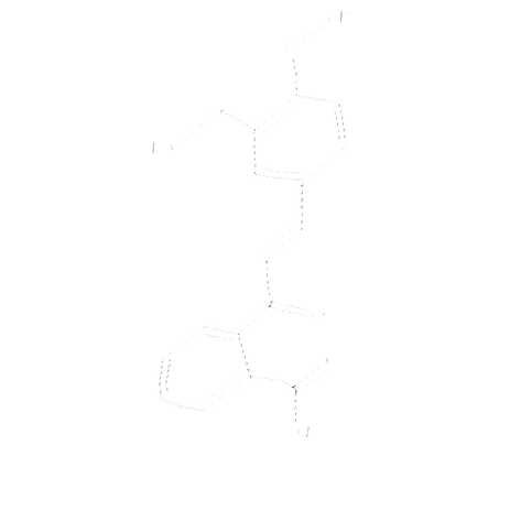 COc1ccc(C=CC(=O)c2ccccc2C(=O)O)cc1OC